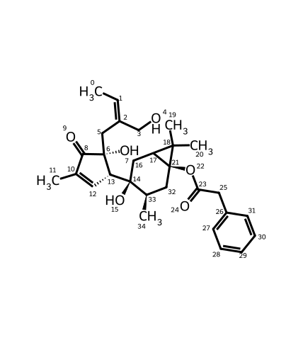 C/C=C(/CO)C[C@]1(O)C(=O)C(C)=C[C@H]1[C@]1(O)CC2C(C)(C)[C@]2(OC(=O)Cc2ccccc2)C[C@H]1C